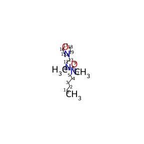 CCCCCCN(C)C(=O)N(C)CCN1CCOCC1